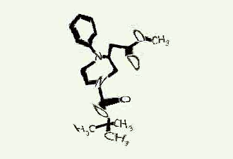 COC(=O)CC1CN(C(=O)OC(C)(C)C)CCN1c1ccccc1